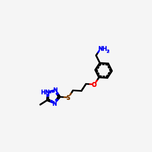 Cc1nc(SCCCOc2cccc(CN)c2)n[nH]1